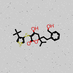 CC(C)C1(CCc2ccccc2CO)CC(O)=C(Sc2cscc2C(C)(C)C)C(=O)O1